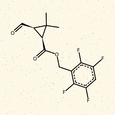 CC1(C)[C@H](C=O)[C@@H]1C(=O)OCc1c(F)c(F)cc(F)c1F